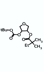 CCC(C)(C)C(=O)OC1COCC1OC(=O)OC(C)(C)C